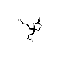 CCCCC1(CCC)CSC(=S)O1